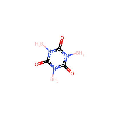 Bn1c(=O)n(B)c(=O)n(B)c1=O